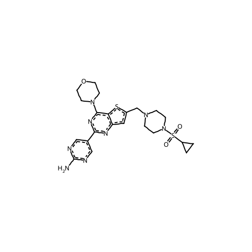 Nc1ncc(-c2nc(N3CCOCC3)c3sc(CN4CCN(S(=O)(=O)C5CC5)CC4)cc3n2)cn1